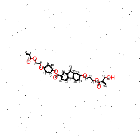 C=CC(=O)OCCOc1ccc(OC(=O)c2ccc3c(c2)C(C)c2cc(OCCCOC(=O)C(=C)CO)ccc2-3)cc1